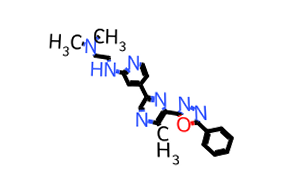 Cc1ncc(-c2ccnc(NCCN(C)C)c2)nc1-c1nnc(-c2ccccc2)o1